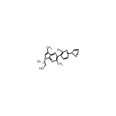 CCc1nc(-n2cccn2)ccc1-c1nc2c(C)cn([C@@H](CC)CO)c2nc1C